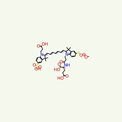 COOOSc1ccc2c(c1)C(C)(C)C(/C=C/C=C/C=C/C=C1/N(CCC(=O)O)c3ccc(S(=O)(=O)O)cc3C1(C)C)=[N+]2CCC(=O)N[C@@H](CCC(=O)O)C(=O)O